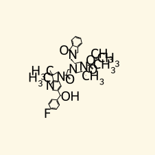 C[C@@H]1CN(CC(=O)N2CC(C)(C)c3ncc([C@H](O)c4ccc(F)cc4)cc32)[C@@H](CN2Cc3ccccc3C2=O)CN1C(=O)OC(C)(C)C